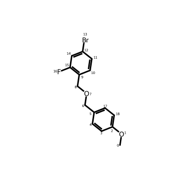 COc1ccc(COCc2ccc(Br)cc2F)cc1